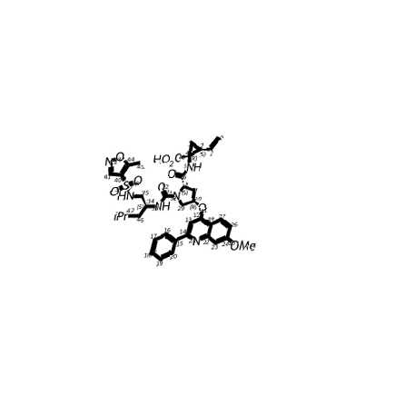 C=C[C@@H]1C[C@]1(NC(=O)[C@@H]1C[C@@H](Oc2cc(-c3ccccc3)nc3cc(OC)ccc23)CN1C(=O)N[C@H](CNS(=O)(=O)c1cnoc1C)CC(C)C)C(=O)O